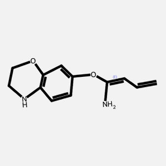 C=C/C=C(\N)Oc1ccc2c(c1)OCCN2